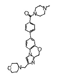 CN1CCN(C(=O)c2ccc(-c3ccc4c(c3)OCc3nc(CN5CCOCC5)cn3-4)cc2)CC1